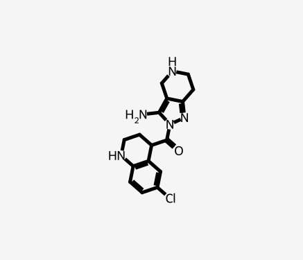 Nc1c2c(nn1C(=O)C1CCNc3ccc(Cl)cc31)CCNC2